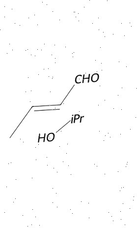 CC(C)O.CC=CC=O